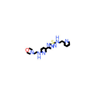 c1ccc(CCNc2nn3cc(-c4ccc(NCCN5CCOCC5)nc4)nc3s2)nc1